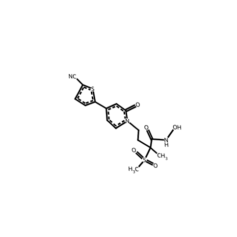 CC(CCn1ccc(-c2ccc(C#N)s2)cc1=O)(C(=O)NO)S(C)(=O)=O